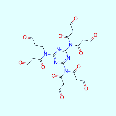 O=CCCN(C(=O)CC=O)c1nc(N(C(=O)CC=O)C(=O)CC=O)nc(N(C(=O)CC=O)C(=O)CC=O)n1